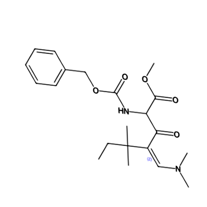 CCC(C)(C)/C(=C/N(C)C)C(=O)C(NC(=O)OCc1ccccc1)C(=O)OC